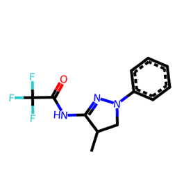 CC1CN(c2ccccc2)N=C1NC(=O)C(F)(F)F